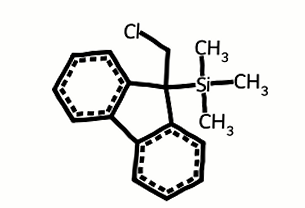 C[Si](C)(C)C1(CCl)c2ccccc2-c2ccccc21